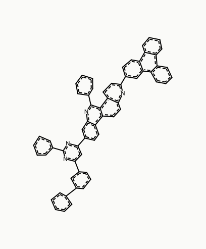 c1ccc(-c2cccc(-c3cc(-c4ccc5c(c4)nc(-c4ccccc4)c4c6ccc(-c7ccc8c9ccccc9c9ccccc9c8c7)nc6ccc54)nc(-c4ccccc4)n3)c2)cc1